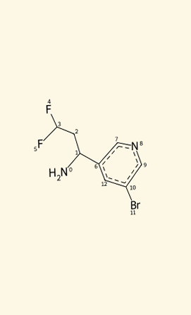 NC(CC(F)F)c1cncc(Br)c1